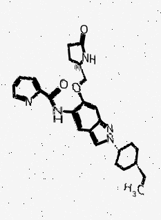 CC[C@H]1CC[C@H](n2cc3cc(NC(=O)c4ccccn4)c(OC[C@H]4CCC(=O)N4)cc3n2)CC1